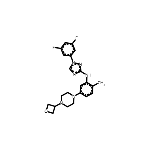 Cc1ccc(N2CCN(C3COC3)CC2)cc1Nc1ncn(-c2cc(F)cc(F)c2)n1